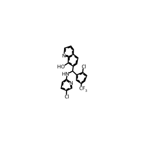 Oc1c(C(Nc2ccc(Cl)cn2)c2cc(C(F)(F)F)ccc2Cl)ccc2cccnc12